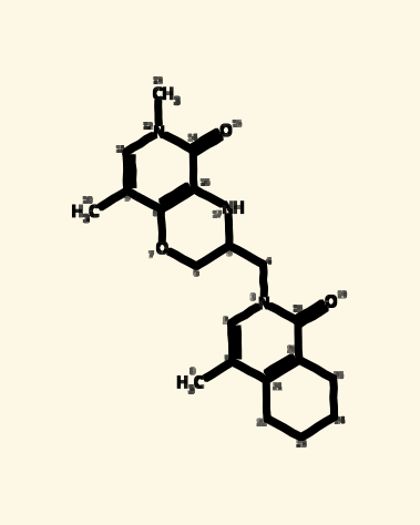 Cc1cn(CC2COc3c(C)cn(C)c(=O)c3N2)c(=O)c2c1CCCC2